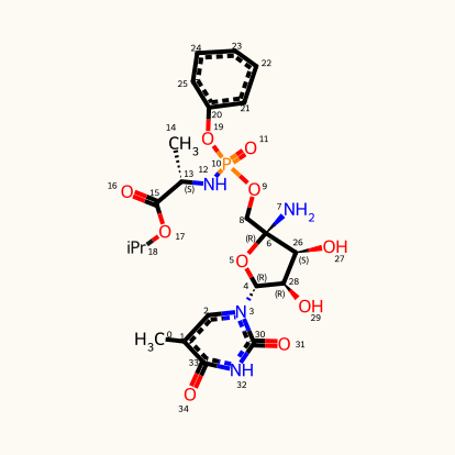 Cc1cn([C@@H]2O[C@](N)(COP(=O)(N[C@@H](C)C(=O)OC(C)C)Oc3ccccc3)[C@@H](O)[C@H]2O)c(=O)[nH]c1=O